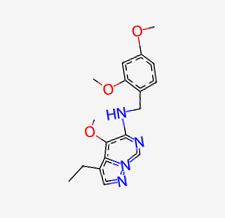 CCc1cnn2cnc(NCc3ccc(OC)cc3OC)c(OC)c12